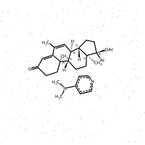 CC(=O)O[C@]1(C(C)=O)CC[C@H]2[C@@H]3C=C(C)C4=CC(=O)CC[C@]4(C)[C@H]3CC[C@@]21C.CN(C)c1ccncc1